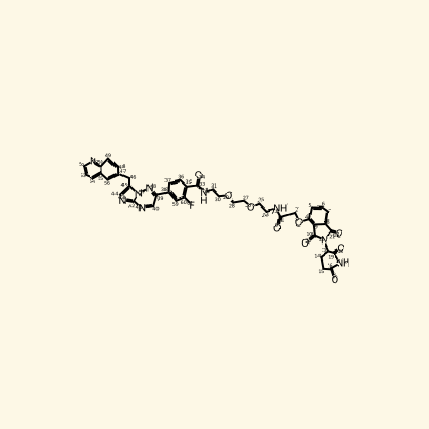 O=C(COc1cccc2c1C(=O)N(C1CCC(=O)NC1=O)C2=O)NCCOCCOCCNC(=O)c1ccc(-c2cnc3ncc(Cc4ccc5ncccc5c4)n3n2)cc1F